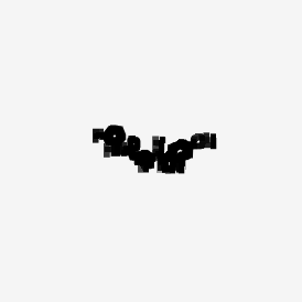 O=C(Cn1cc(Nc2ncnc3cc(O)ccc23)cn1)Nc1cccc(F)c1